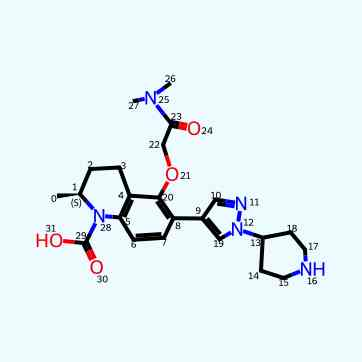 C[C@H]1CCc2c(ccc(-c3cnn(C4CCNCC4)c3)c2OCC(=O)N(C)C)N1C(=O)O